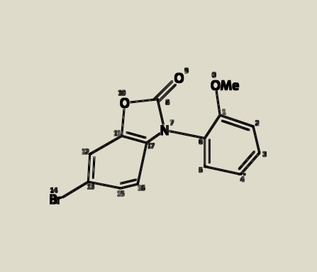 COc1cc[c]cc1-n1c(=O)oc2cc(Br)ccc21